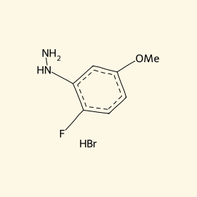 Br.COc1ccc(F)c(NN)c1